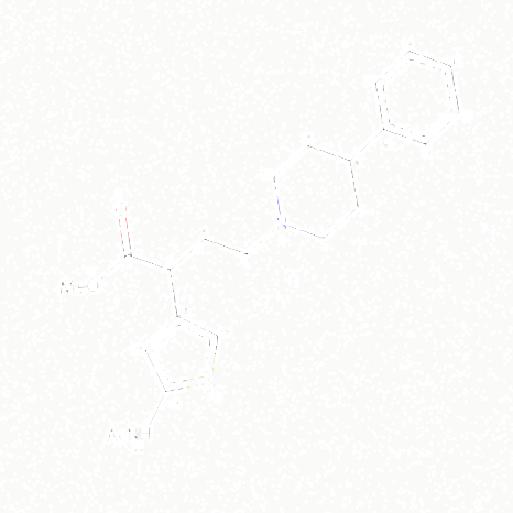 COC(=O)C(CCN1CCC(c2ccccc2)CC1)c1csc(NC(C)=O)c1